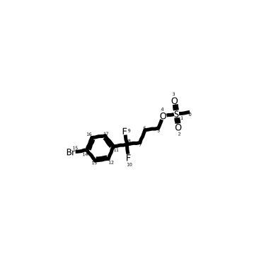 CS(=O)(=O)OCCCC(F)(F)c1ccc(Br)cc1